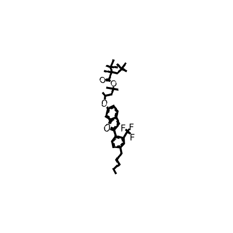 CCCCCc1ccc(-c2cc3ccc(OC(C)CC(C)(C)OC(=O)C(C)(CC(C)(C)C)C(C)(C)C)cc3o2)c(C(F)(F)F)c1